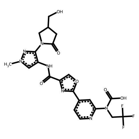 Cn1cc(NC(=O)c2coc(-c3ccnc(N(CC(F)(F)F)C(=O)O)c3)n2)c(N2CC(CO)CC2=O)n1